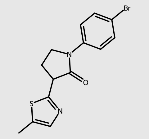 Cc1cnc(C2CCN(c3ccc(Br)cc3)C2=O)s1